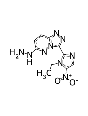 CCn1c([N+](=O)[O-])cnc1-c1nnc2ccc(NN)nn12